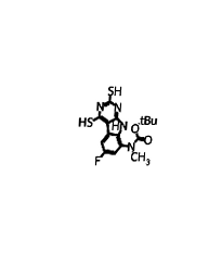 CN(C(=O)OC(C)(C)C)c1cc(F)cc2c1[nH]c1nc(S)nc(S)c12